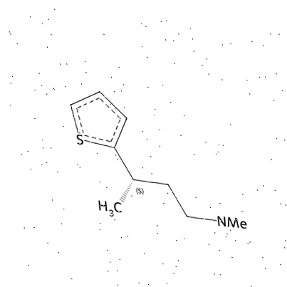 CNCC[C@H](C)c1cccs1